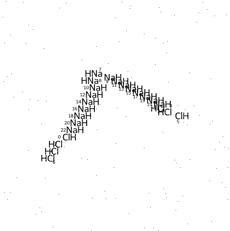 Cl.Cl.Cl.Cl.Cl.Cl.Cl.[NaH].[NaH].[NaH].[NaH].[NaH].[NaH].[NaH].[NaH].[NaH].[NaH].[NaH].[NaH].[NaH].[NaH].[NaH].[NaH].[NaH]